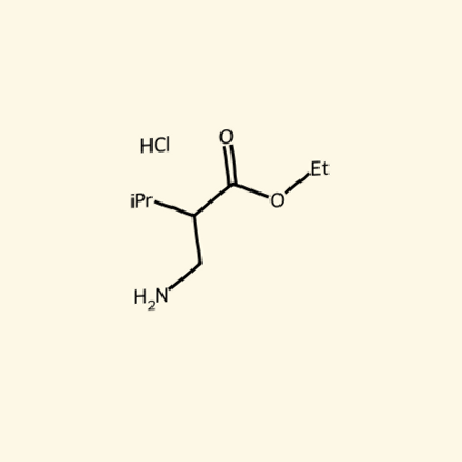 CCOC(=O)C(CN)C(C)C.Cl